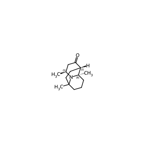 C[C@H]1CC(=O)[C@H]2CCC3(C)CCC[C@@]2(C)N13